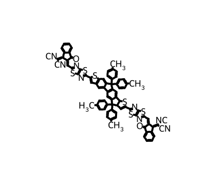 [C-]#[N+]/C(C#N)=C1\C(=C\c2nc3sc(C4=CC5C(S4)c4cc6c(cc4C5(c4ccc(C)cc4)c4ccc(C)cc4)-c4cc5cc(-c7nc8sc(/C=C9\C(=O)c%10ccccc%10\C9=C(\C#N)[N+]#[C-])nc8s7)sc5cc4C6(c4ccc(C)cc4)c4ccc(C)cc4)nc3s2)C(=O)c2ccccc21